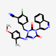 COc1ccc(Nc2nc(=O)n(-c3cncc4ccccc34)c(=O)n2Cc2ccc(F)c(C#N)c2)c(C)c1